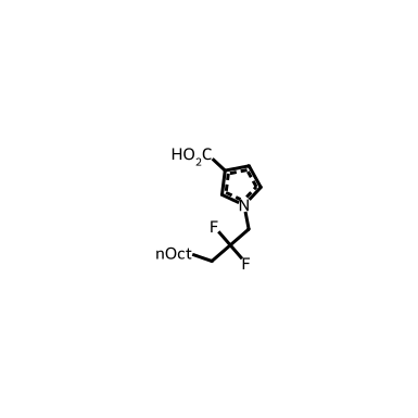 CCCCCCCCCC(F)(F)Cn1ccc(C(=O)O)c1